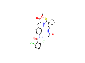 COC(=O)[C@H](Cc1ccc(NC(=O)c2c(Cl)cccc2Cl)cc1)NC(=S)C1(CCNC(C)=O)CCCC1